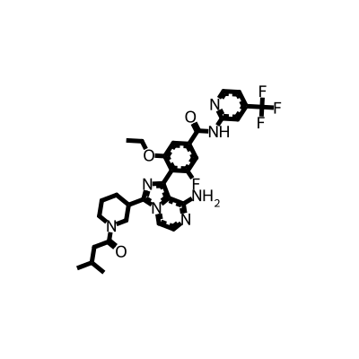 CCOc1cc(C(=O)Nc2cc(C(F)(F)F)ccn2)cc(F)c1-c1nc(C2CCCN(C(=O)CC(C)C)C2)n2ccnc(N)c12